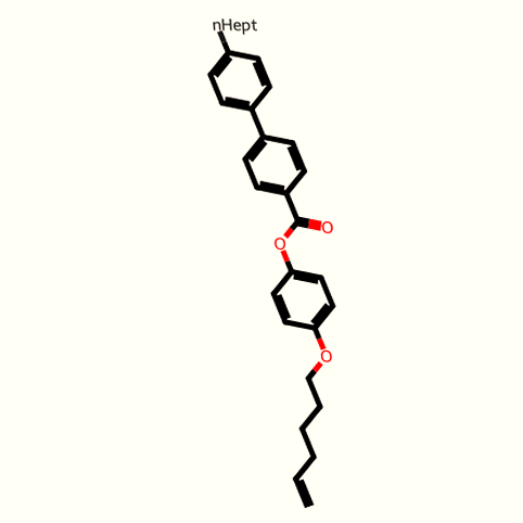 C=CCCCCOc1ccc(OC(=O)c2ccc(-c3ccc(CCCCCCC)cc3)cc2)cc1